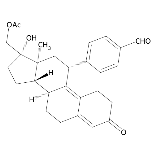 CC(=O)OC[C@]1(O)CC[C@H]2[C@@H]3CCC4=CC(=O)CCC4=C3[C@@H](c3ccc(C=O)cc3)C[C@@]21C